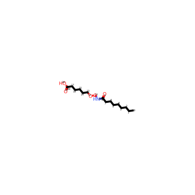 CCCCCCCCC(=O)NOOCCCCCC(=O)O